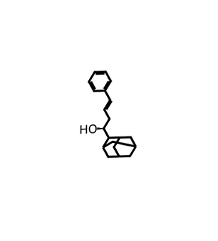 O[C@@H](CC=Cc1ccccc1)C1C2CC3CC(C2)CC1C3